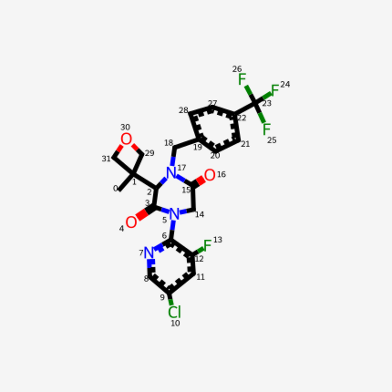 CC1(C2C(=O)N(c3ncc(Cl)cc3F)CC(=O)N2Cc2ccc(C(F)(F)F)cc2)COC1